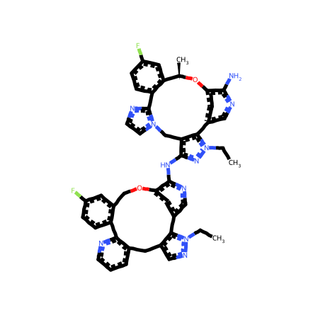 CCn1ncc2c1-c1cnc(Nc3nn(CC)c4c3Cn3ccnc3-c3ccc(F)cc3[C@@H](C)Oc3cc-4cnc3N)c(c1)OCc1cc(F)ccc1-c1ncccc1C2